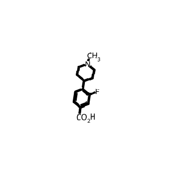 CN1CCC(c2ccc(C(=O)O)cc2F)CC1